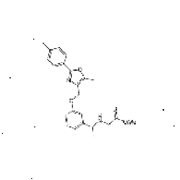 COC(=O)CNC(C)c1cccc(OCc2nc(-c3ccc(C)cc3)oc2C)c1